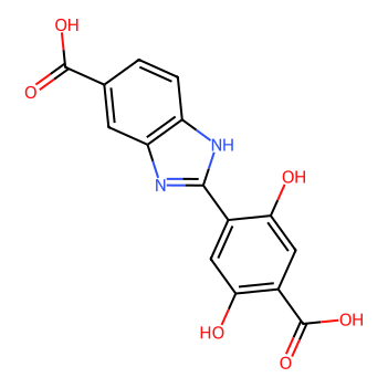 O=C(O)c1ccc2[nH]c(-c3cc(O)c(C(=O)O)cc3O)nc2c1